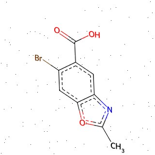 Cc1nc2cc(C(=O)O)c(Br)cc2o1